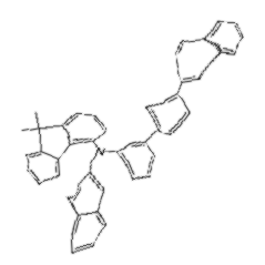 CC1(C)c2ccccc2-c2c(N(c3cccc(-c4ccc(-c5ccc6ccccc6c5)cc4)c3)c3ccc4ccccc4c3)cccc21